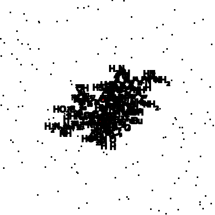 CC[C@H](C)[C@H](NC(=O)[C@@H]1C[C@@H](O)CN1C(=O)[C@@H](NC(=O)[C@@H]1C[C@@H](O)CN1)C(C)C)C(=O)N[C@H](C(=O)N[C@@H](Cc1ccc(O)cc1)C(=O)N[C@H](C(=O)N[C@@H](CC(N)=O)C(=O)N[C@@H](CCCNC(=N)N)C(=O)N[C@@H](CCN)C(=O)N[C@H](C(=O)N[C@H](CCN)C(=O)N[C@@H](CCCCN)C(=O)N[C@@H](CS)C(=O)N[C@@H](CCN)C(=O)N[C@@H](CCCNC(=N)N)C(=O)N[C@@H](Cc1ccc(O)cc1)C(=O)O)[C@@H](C)O)C(C)(C)S)[C@@H](C)O